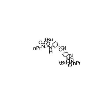 CCCN(CC(=O)Nc1cccc(-c2cnc(-c3ccc4[nH]c(CN(CCC)C(=O)OC(C)(C)C)nc4c3)o2)c1)C(=O)OC(C)(C)C